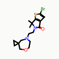 CC1(C)c2sc(Br)cc2C(=O)N1CCN1CCOCC2(CC2)C1